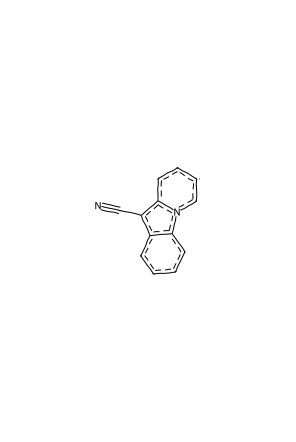 N#Cc1c2ccccc2n2c[c]ccc12